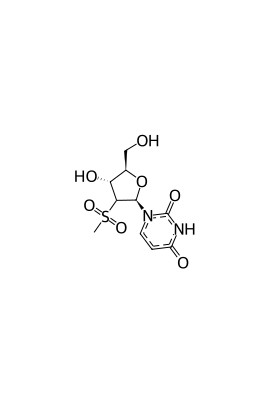 CS(=O)(=O)C1[C@H](n2ccc(=O)[nH]c2=O)O[C@H](CO)[C@H]1O